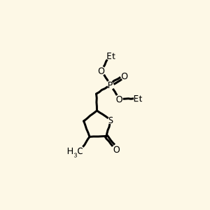 CCOP(=O)(CC1CC(C)C(=O)S1)OCC